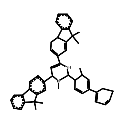 CC1C=C(C2=CC=CCC2)C=CC1C1NC(C2=CCC3C(=C2)C(C)(C)c2ccccc23)=CC(c2ccc3c(c2)C(C)(C)c2ccccc2-3)N1C